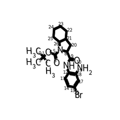 CC(C)(C)OC(=O)N1C(C(=O)Nc2ccc(Br)cc2N)CC2CCCCC21